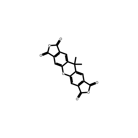 CC1(C)c2cc3c(cc2Oc2cc4c(cc21)C(=O)OC4=O)C(=O)OC3=O